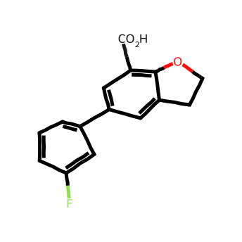 O=C(O)c1cc(-c2cccc(F)c2)cc2c1OCC2